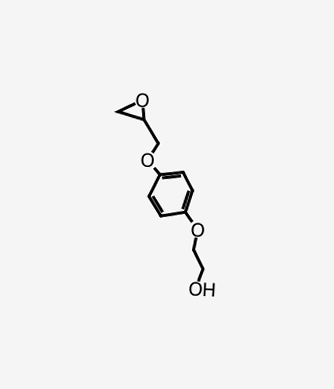 OCCOc1ccc(OCC2CO2)cc1